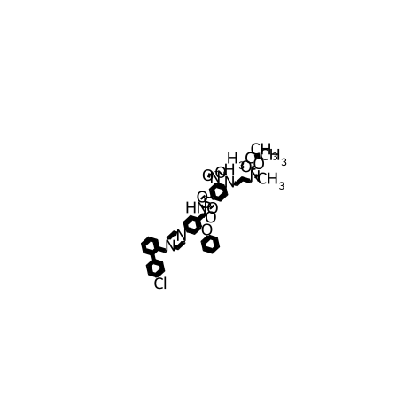 CN(CCCNc1ccc(S(=O)(=O)NC(=O)c2ccc(N3CCN(Cc4ccccc4-c4ccc(Cl)cc4)CC3)cc2Oc2ccccc2)cc1[N+](=O)[O-])C(=O)OC(C)(C)C